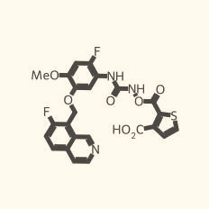 COc1cc(F)c(NC(=O)NOC(=O)c2sccc2C(=O)O)cc1OCc1c(F)ccc2ccncc12